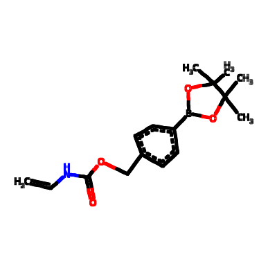 C=CNC(=O)OCc1ccc(B2OC(C)(C)C(C)(C)O2)cc1